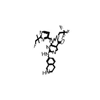 CC(C)(CF)c1nccc(-n2c3nc(Nc4ccc5c(c4)CNCC5)ncc3c(=O)n2CC(F)(F)F)n1